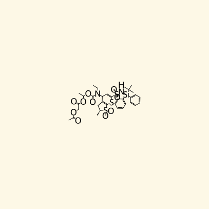 CCN(C(=O)OC(C)OC(=O)COC(C)=O)[C@H]1C=C(S(=O)(=O)N[Si](c2ccccc2)(c2ccccc2)C(C)(C)C)SC2=C1C[C@H](C)S2(=O)=O